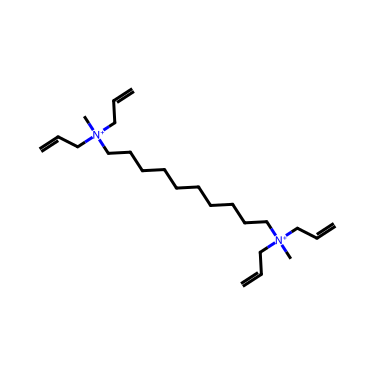 C=CC[N+](C)(CC=C)CCCCCCCCCC[N+](C)(CC=C)CC=C